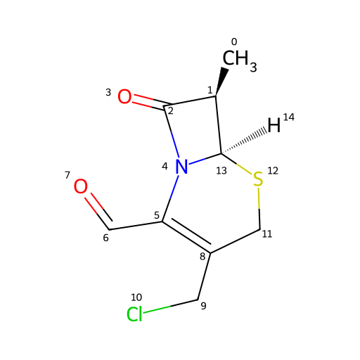 C[C@@H]1C(=O)N2C(C=O)=C(CCl)CS[C@H]12